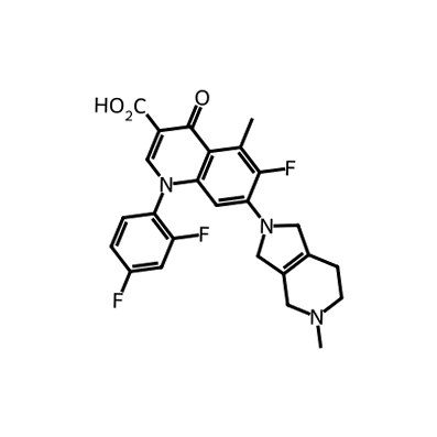 Cc1c(F)c(N2CC3=C(CN(C)CC3)C2)cc2c1c(=O)c(C(=O)O)cn2-c1ccc(F)cc1F